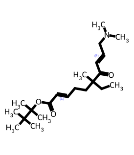 CCC(C)(CC/C=C/C(=O)OC(C)(C)C(C)(C)C)C(=O)/C=C/CN(C)C